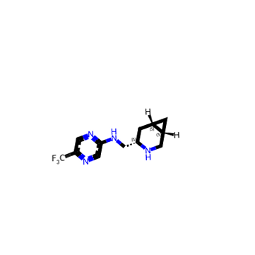 FC(F)(F)c1cnc(NC[C@@H]2C[C@@H]3C[C@@H]3CN2)cn1